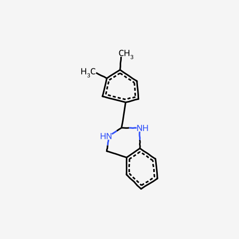 Cc1ccc(C2NCc3ccccc3N2)cc1C